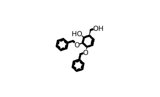 OC[C@H]1C=C[C@H](OCc2ccccc2)[C@@H](OCc2ccccc2)[C@@H]1O